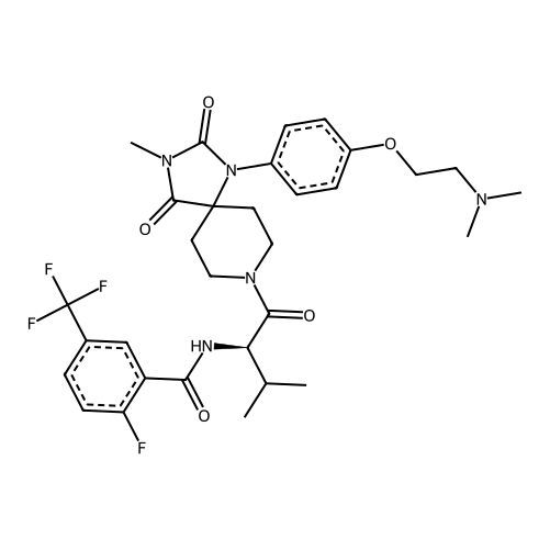 CC(C)[C@@H](NC(=O)c1cc(C(F)(F)F)ccc1F)C(=O)N1CCC2(CC1)C(=O)N(C)C(=O)N2c1ccc(OCCN(C)C)cc1